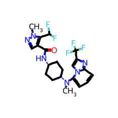 Cn1ncc(C(=O)N[C@H]2CC[C@@H](N(C)c3cccc4nc(C(F)(F)F)cn34)CC2)c1C(F)F